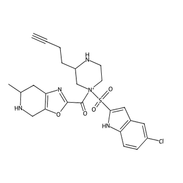 C#CCCC1C[N+](C(=O)c2nc3c(o2)CNC(C)C3)(S(=O)(=O)c2cc3cc(Cl)ccc3[nH]2)CCN1